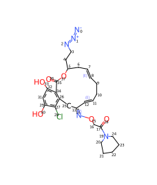 [N-]=[N+]=NCCC1C/C=C/CC/C=C/C(=N\OCC(=O)N2CCCCC2)Cc2c(Cl)c(O)cc(O)c2C(=O)O1